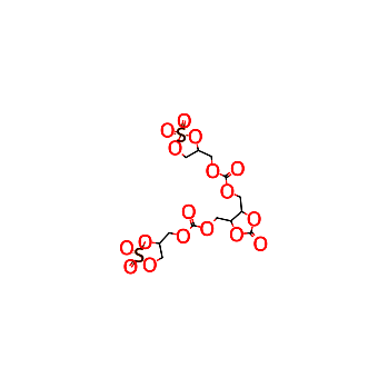 O=C(OCC1COS(=O)(=O)O1)OCC1OC(=O)OC1COC(=O)OCC1COS(=O)(=O)O1